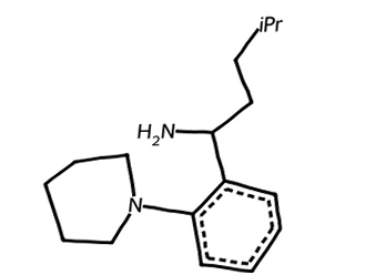 CC(C)CCC(N)c1ccccc1N1CCCCC1